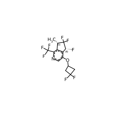 C[C@H]1c2c(C(F)(F)F)ncc(OC3CC(F)(F)C3)c2[C@@H](F)C1(F)F